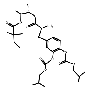 CCC(C)(C)C(=O)OC(C)[C@H](C)OC(=O)[C@@H](N)Cc1ccc(OC(=O)OCC(C)C)c(OC(=O)OCC(C)C)c1